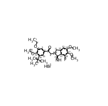 Br.CCOc1cc(C(=O)CN2Cc3cc(OC)c(OC)c(F)c3C2=N)cc(C(C)(C)C)c1OC